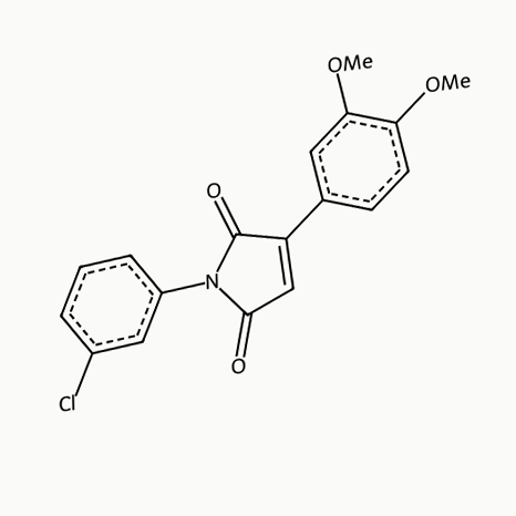 COc1ccc(C2=CC(=O)N(c3cccc(Cl)c3)C2=O)cc1OC